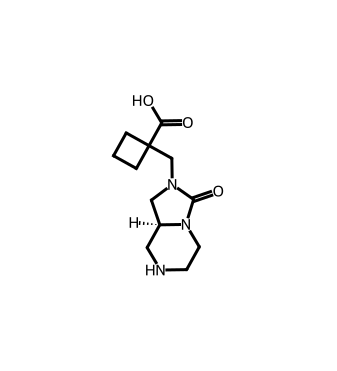 O=C1N(CC2(C(=O)O)CCC2)C[C@@H]2CNCCN12